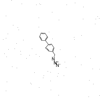 [N-]=[N+]=NCc1ccc(-c2ccccc2)cc1